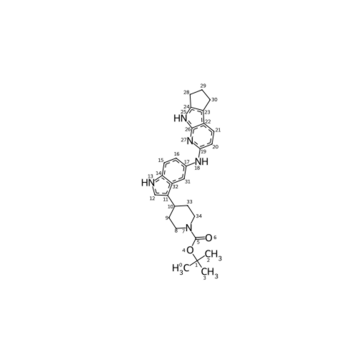 CC(C)(C)OC(=O)N1CCC(c2c[nH]c3ccc(Nc4ccc5c6c([nH]c5n4)CCC6)cc23)CC1